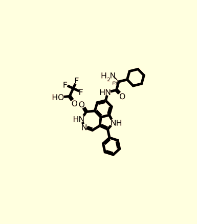 N[C@@H](C(=O)Nc1cc2c3c(c(-c4ccccc4)[nH]c3c1)C=NNC2=O)C1CCCCC1.O=C(O)C(F)(F)F